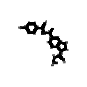 CC(NC(=O)c1ccc(F)cc1)c1ccc2c(c1)CCN2C(=O)OC(C)(C)C